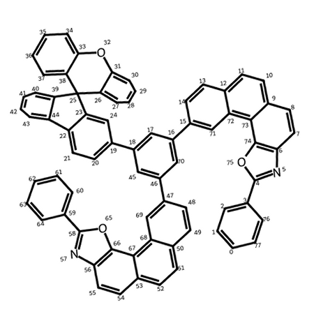 c1ccc(-c2nc3ccc4ccc5ccc(-c6cc(-c7ccc8c(c7)C7(c9ccccc9Oc9ccccc97)c7ccccc7-8)cc(-c7ccc8ccc9ccc%10nc(-c%11ccccc%11)oc%10c9c8c7)c6)cc5c4c3o2)cc1